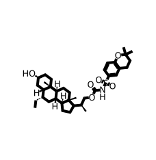 CC[C@H]1C[C@@H]2[C@H](CC[C@]3(C)C([C@H](C)COC(=O)NS(=O)(=O)c4ccc5c(c4)CCC(C)(C)O5)CC[C@@H]23)[C@@]2(C)CC[C@H](O)C[C@@H]12